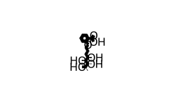 C[C@H](O)[C@@H](O)[C@@H](O)[C@H](O)CCCOc1ccccc1C(=O)O